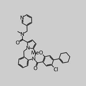 COc1cc(C2=CCCCC2)c(Cl)cc1C(=O)N1Cc2ccc(C(=O)N(C)Cc3cccnc3)n2Cc2ccccc21